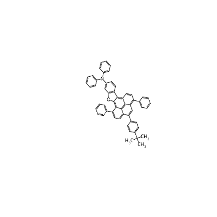 CC(C)(C)c1ccc(-c2cc3c(-c4ccccc4)ccc4c5c6ccc(N(c7ccccc7)c7ccccc7)cc6oc5c5c(-c6ccccc6)ccc2c5c34)cc1